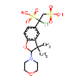 CC1(C)c2cc(C(Cl)(CS(=O)(=O)O)S(=O)(=O)O)ccc2OC1N1CCOCC1